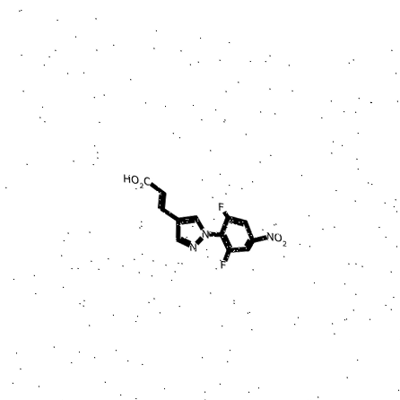 O=C(O)C=Cc1cnn(-c2c(F)cc([N+](=O)[O-])cc2F)c1